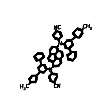 [C-]#[N+]c1ccc(N(c2cc(-c3ccccc3)cc(-c3ccc(C)cc3)c2)c2ccc3ccc4c(N(c5ccc(C#N)cc5)c5cc(-c6ccccc6)cc(-c6ccc(C)cc6)c5)ccc5ccc2c3c54)cc1